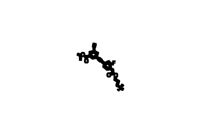 C#Cc1cc(C#Cc2ccc(CC(=O)OCCC[Si](C)(C)C)c(F)c2)cc(C(=O)OC(C)C)c1